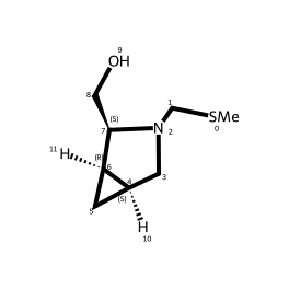 CSCN1C[C@H]2C[C@H]2[C@H]1CO